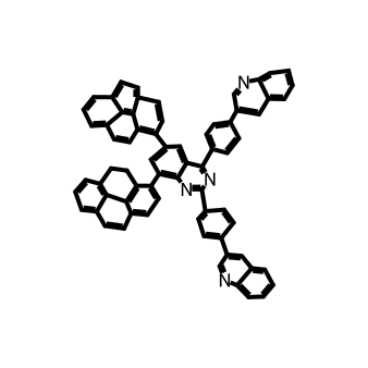 c1ccc2ncc(-c3ccc(-c4nc(-c5ccc(-c6cnc7ccccc7c6)cc5)c5cc(-c6ccc7ccc8cccc9ccc6c7c89)cc(-c6ccc7ccc8cccc9c8c7c6CC9)c5n4)cc3)cc2c1